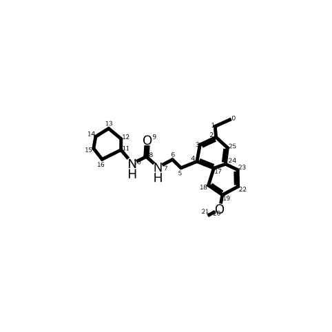 CCc1cc(CCNC(=O)NC2CCCCC2)c2cc(OC)ccc2c1